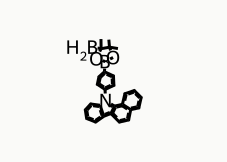 BC1(C)OB(c2ccc(-n3c4ccccc4c4ccc5ccccc5c43)cc2)OC1(C)C